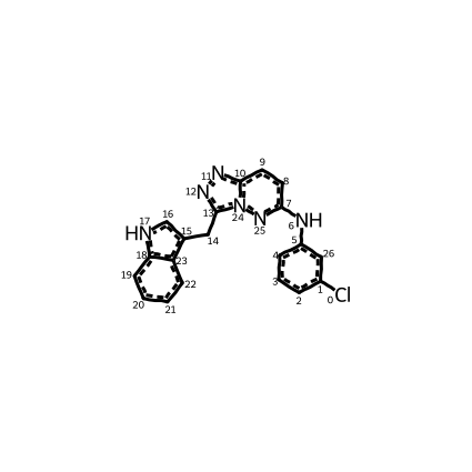 Clc1cccc(Nc2ccc3nnc(Cc4c[nH]c5ccccc45)n3n2)c1